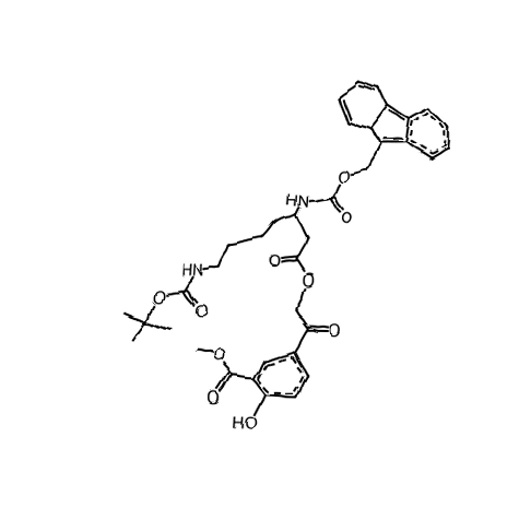 COC(=O)c1cc(C(=O)COC(=O)CC(CCCCNC(=O)OC(C)(C)C)NC(=O)OCC2=c3ccccc3=C3C=CC=CC32)ccc1O